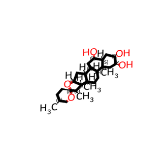 C[C@@H]1CC[C@@]2(OC1)O[C@H]1C[C@H]3[C@@H]4C[C@@H](O)[C@H]5C[C@@H](O)[C@H](O)C[C@]5(C)[C@H]4CC[C@]3(C)[C@H]1[C@@H]2C